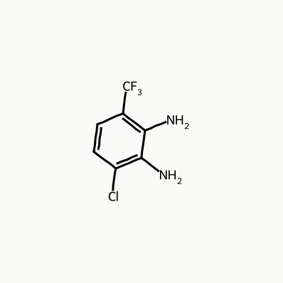 Nc1c(Cl)ccc(C(F)(F)F)c1N